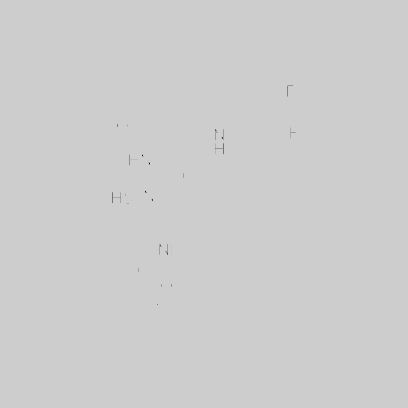 COc1ccc(-c2cc3cc(F)c(F)cc3[nH]2)cc1NC(=O)N(S)CCNC(=O)OC(C)(C)C